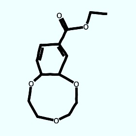 CCOC(=O)C1=CC2OCCOCCOC2C=C1